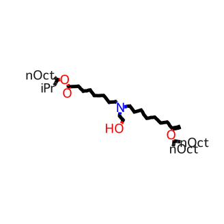 C=C(CCCCCCCN(CCO)CCCCCCCC(=O)OC(CCCCCCCC)C(C)C)OC(CCCCCCCC)CCCCCCCC